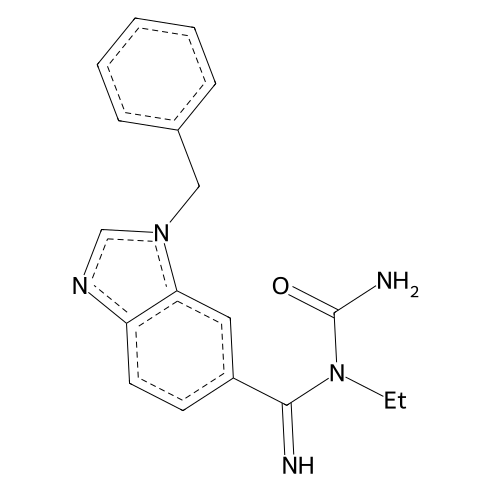 CCN(C(=N)c1ccc2ncn(Cc3ccccc3)c2c1)C(N)=O